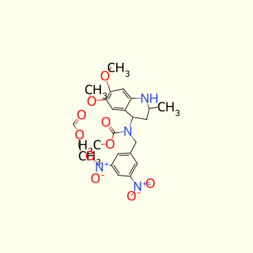 CCOC=O.COC(=O)N(Cc1cc([N+](=O)[O-])cc([N+](=O)[O-])c1)C1CC(C)Nc2cc(OC)c(OC)cc21